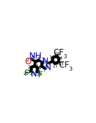 NC(=O)/C(=C/c1ccnc(-c2cc(C(F)(F)F)cc(C(F)(F)F)c2)n1)c1cc(F)nc(F)c1